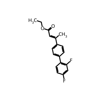 CCOC(=O)C=C(C)c1ccc(-c2ccc(F)cc2F)cc1